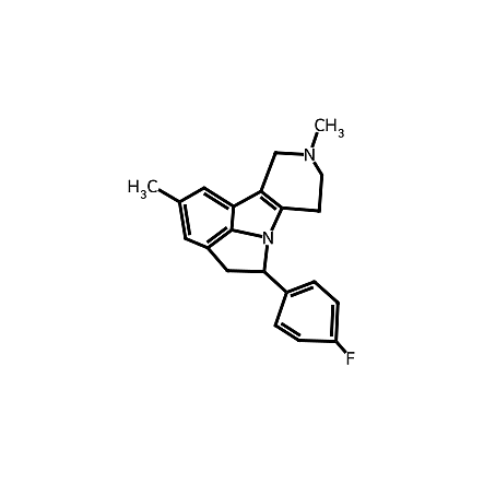 Cc1cc2c3c(c1)c1c(n3C(c3ccc(F)cc3)C2)CCN(C)C1